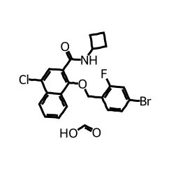 O=C(NC1CCC1)c1cc(Cl)c2ccccc2c1OCc1ccc(Br)cc1F.O=CO